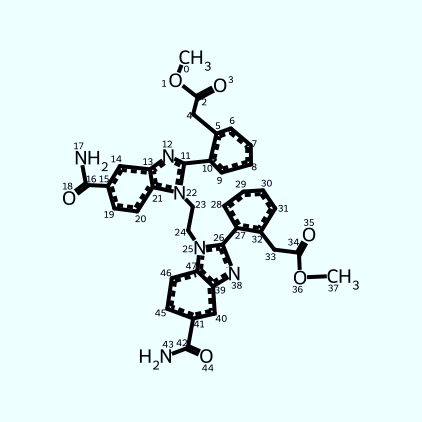 COC(=O)Cc1ccccc1-c1nc2cc(C(N)=O)ccc2n1CCn1c(-c2ccccc2CC(=O)OC)nc2cc(C(N)=O)ccc21